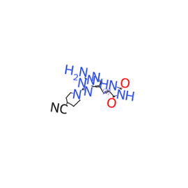 N#CC1CCN(c2nc(N)n3ncc(/C=C4\NC(=O)NC4=O)c3n2)CC1